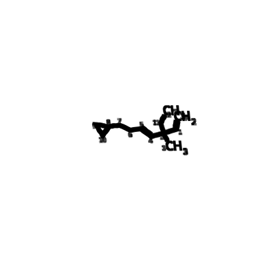 C=CC(C)(/C=C/CCC1CC1)CC